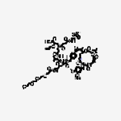 C=CCOC(CN(CCC(=O)N[C@H](C(=O)N[C@@H](CCCCNC(=O)CCOCCOCCOCCOC)C(=O)NCc1ccc([C@H]2O[C@@H]2[C@@H](C)[C@@H]2C/C=C/C(=O)N[C@H](Cc3ccc(OC)c(Cl)c3)C(=O)NCC(C)(C)C(=O)O[C@@H](CC(C)C)C(=O)O2)cc1)C(C)C)C(=O)CCC(=O)NCCS(=O)(=O)[O-])C(=O)O.[Na+]